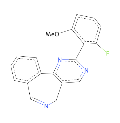 COc1cccc(F)c1-c1ncc2c(n1)-c1ccccc1C=NC2